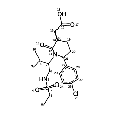 CCS(=O)(=O)NCC(C(C)C)N1C(=O)[C@@H](CC(=O)O)CCC1c1ccc(Cl)cc1